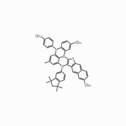 Cc1cc2c3c(c1)N(c1ccc4c(c1)C(C)(C)CC4(C)C)c1c(sc4cc5ccc(C(C)(C)C)cc5cc14)B3c1cc(C(C)(C)C)ccc1N2c1ccc(C(C)(C)C)cc1